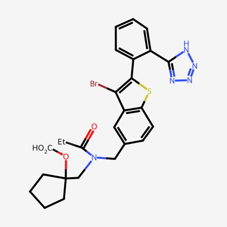 CCC(=O)N(Cc1ccc2sc(-c3ccccc3-c3nnn[nH]3)c(Br)c2c1)CC1(OC(=O)O)CCCC1